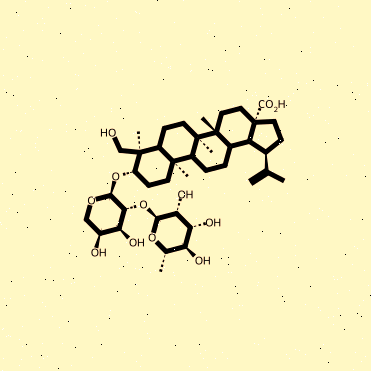 C=C(C)[C@@H]1CC[C@]2(C(=O)O)CC[C@]3(C)C(CCC4[C@@]5(C)CC[C@H](O[C@@H]6OC[C@H](O)[C@H](O)[C@H]6O[C@@H]6O[C@@H](C)[C@H](O)[C@@H](O)[C@H]6O)[C@@](C)(CO)C5CC[C@]43C)C12